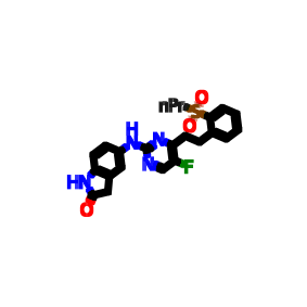 CCCS(=O)(=O)c1ccccc1CCc1nc(Nc2ccc3c(c2)CC(=O)N3)ncc1F